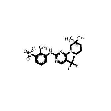 Cc1c(Nc2ncc(C(F)(F)F)c(N3CCC[C@](C)(O)C3)n2)cccc1S(=O)(=O)Cl